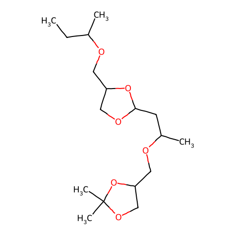 CCC(C)OCC1COC(CC(C)OCC2COC(C)(C)O2)O1